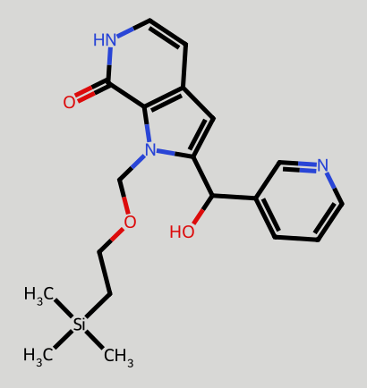 C[Si](C)(C)CCOCn1c(C(O)c2cccnc2)cc2cc[nH]c(=O)c21